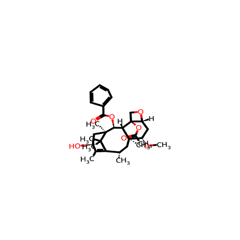 CO[C@H]1C[C@H]2OC[C@@]2(OC(C)=O)[C@H]2[C@H](OC(=O)c3ccccc3)[C@]3(C)C[C@H](O)C(C)=C([C@@H](C)C[C@]12C)C3(C)C